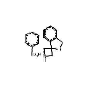 O=S(=O)(O)c1ccccc1.c1ccc2c(c1)COC21CNC1